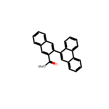 COC(=O)c1cc2ccccc2cc1-c1cc2ccccc2c2ccccc12